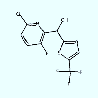 OC(c1ncc(C(F)(F)F)s1)c1nc(Cl)ccc1F